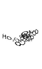 CC(c1ccc2c(c1)CCC2)C(C1(C(=O)N[C@H]2CCc3ccccc3N(CC(=O)O)C2=O)CCCC1)P(=O)(O)O